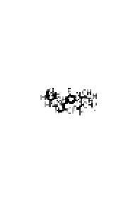 CC(C(F)F)n1c(C(C)(C)O)nc2c(F)cc(-c3nc(N[C@@H]4C[C@H]5CO[C@H](O5)[C@H]4O)ncc3Cl)cc21